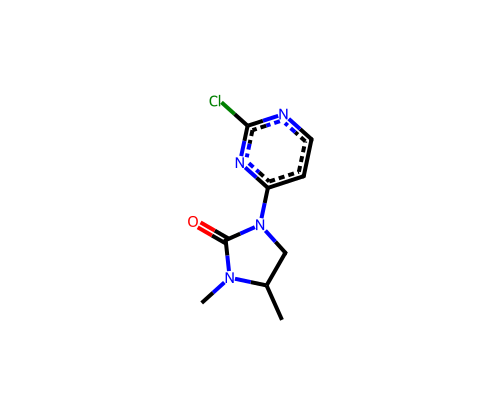 CC1CN(c2ccnc(Cl)n2)C(=O)N1C